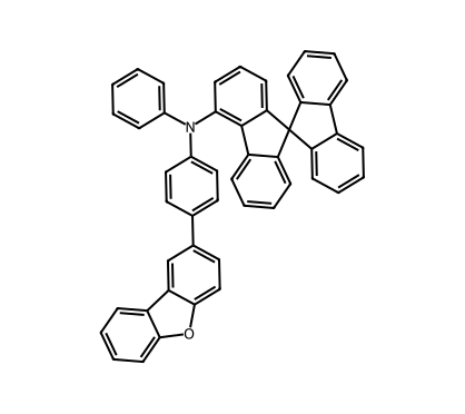 c1ccc(N(c2ccc(-c3ccc4oc5ccccc5c4c3)cc2)c2cccc3c2-c2ccccc2C32c3ccccc3-c3ccccc32)cc1